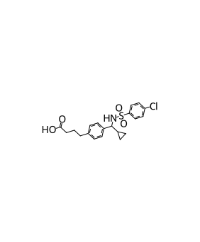 O=C(O)CCCc1ccc(C(NS(=O)(=O)c2ccc(Cl)cc2)C2CC2)cc1